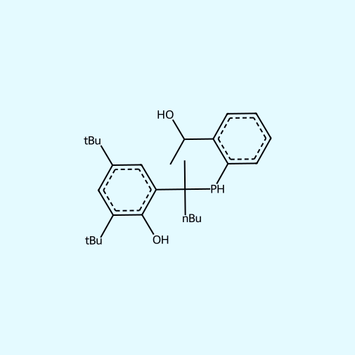 CCCCC(C)(Pc1ccccc1C(C)O)c1cc(C(C)(C)C)cc(C(C)(C)C)c1O